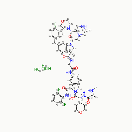 CN[C@@H](C)C(=O)N[C@H](C(=O)N1Cc2ccc(NC(=O)CNC(=O)[C@]3(C)CN(C(=O)CN4C[C@@H](C)NC[C@@H]4CN4CCOC[C@H]4C)c4cc(Cc5ccc(F)cc5)ccc43)cc2[C@H]1C(=O)Nc1c(F)cccc1F)C1CCOCC1.Cl.Cl.Cl